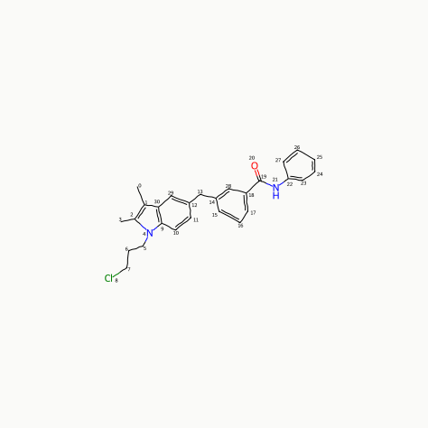 Cc1c(C)n(CCCCl)c2ccc(Cc3cccc(C(=O)Nc4ccccc4)c3)cc12